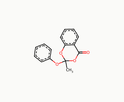 CC1(Oc2ccccc2)OC(=O)c2ccccc2O1